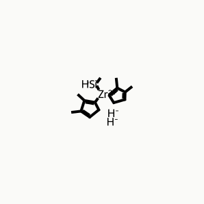 CC1=CC[C]([Zr+2]([C]2=C(C)C(C)=CC2)[SiH](C)C)=C1C.[H-].[H-]